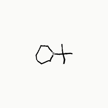 CC(C)(C)B1CCCCC1